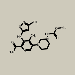 Cc1cc(Nc2c(C(N)=O)ncc(N3CCC[C@@H](NC(=O)OC(C)(C)C)C3)c2C)sn1